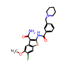 COc1cc2c(C(N)=O)c(NC(=O)c3cccc(CN4CCCCC4)c3)sc2cc1F